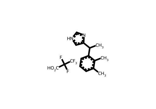 Cc1cccc(C(C)c2c[nH]cn2)c1C.O=C(O)C(F)(F)C(F)(F)F